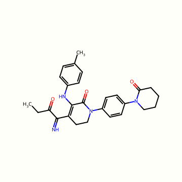 CCC(=O)C(=N)C1=C(Nc2ccc(C)cc2)C(=O)N(c2ccc(N3CCCCC3=O)cc2)CC1